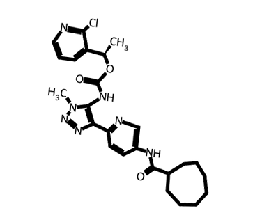 C[C@@H](OC(=O)Nc1c(-c2ccc(NC(=O)C3CCCCCCC3)cn2)nnn1C)c1cccnc1Cl